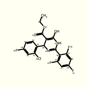 CCOC(=O)C1=C(O)NC(c2c(F)cc(F)cc2F)=NC1c1ccc(F)cc1Cl